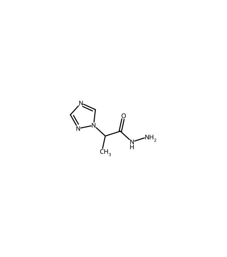 CC(C(=O)NN)n1cncn1